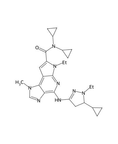 CCN1N=C(Nc2nc3c(cc(C(=O)N(C4CC4)C4CC4)n3CC)c3c2ncn3C)CC1C1CC1